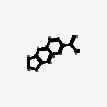 O=C(O)c1cnc2cc3c(cc2c1)COO3